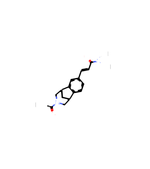 CN(C)C(=O)C=Cc1ccc2c(c1)C1CC2CN(C(=O)C(F)(F)F)C1